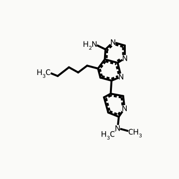 CCCCCc1cc(-c2ccc(N(C)C)nc2)nc2ncnc(N)c12